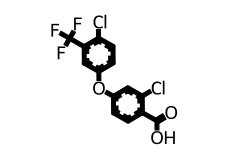 O=C(O)c1ccc(Oc2ccc(Cl)c(C(F)(F)F)c2)cc1Cl